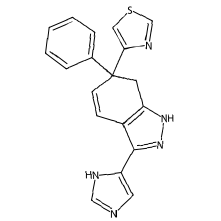 C1=CC(c2ccccc2)(c2cscn2)Cc2[nH]nc(-c3cnc[nH]3)c21